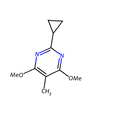 COc1nc(C2CC2)nc(OC)c1C